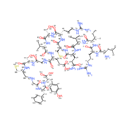 CC[C@H](C)[C@H](NC(=O)[C@H](CCCNC(=N)N)NC(=O)[C@@H](N)CC(C)C)C(=O)N[C@H](C(=O)N[C@@H](CCC(N)=O)C(=O)N[C@@H](CS)C(=O)N[C@@H](CCCNC(=N)N)C(=O)N[C@@H](CO)C(=O)N[C@H](C(=O)N[C@@H](CCC(=O)O)C(=O)NCC(=O)N[C@@H](CO)C(=O)N[C@@H](CS)CNCC(=O)N[C@@H](Cc1ccccc1)C(=O)N[C@@H](Cc1ccc(O)cc1)C(=O)O)C(C)C)C(C)C